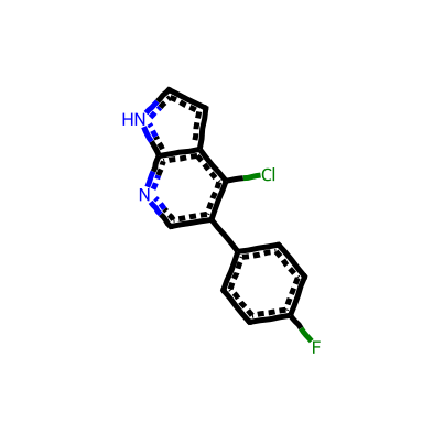 Fc1ccc(-c2cnc3[nH]ccc3c2Cl)cc1